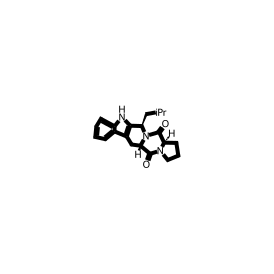 CC(C)C[C@@H]1c2[nH]c3ccccc3c2C[C@H]2C(=O)N3CCC[C@@H]3C(=O)N12